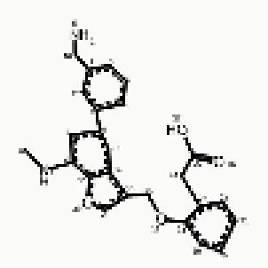 CNc1cc(-c2cccc(CN)c2)cc2c(COc3ccccc3CC(=O)O)coc12